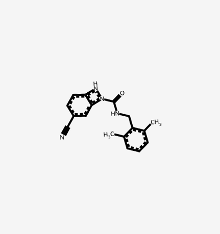 Cc1cccc(C)c1CNC(=O)n1[nH]c2ccc(C#N)cc21